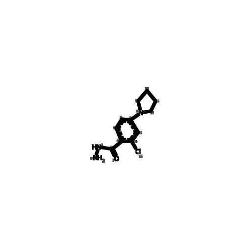 NNC(=O)c1ccc(N2CCCC2)cc1Cl